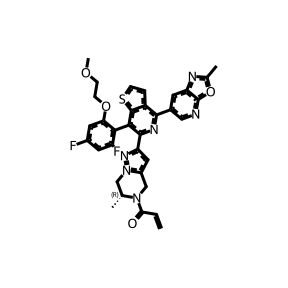 C=CC(=O)N1Cc2cc(-c3nc(-c4cnc5oc(C)nc5c4)c4ccsc4c3-c3c(F)cc(F)cc3OCCOC)nn2C[C@H]1C